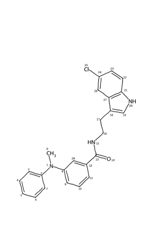 CN(c1ccccc1)c1cccc(C(=O)NCCc2c[nH]c3ccc(Cl)cc23)c1